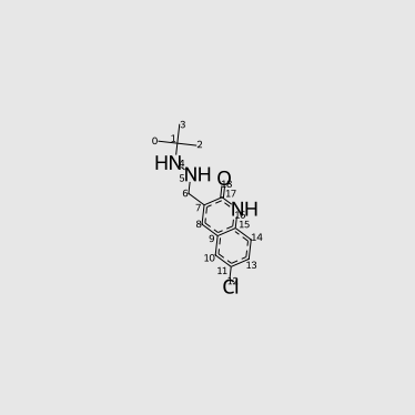 CC(C)(C)NNCc1cc2cc(Cl)ccc2[nH]c1=O